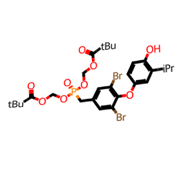 CC(C)c1cc(Oc2c(Br)cc(CP(=O)(OCOC(=O)C(C)(C)C)OCOC(=O)C(C)(C)C)cc2Br)ccc1O